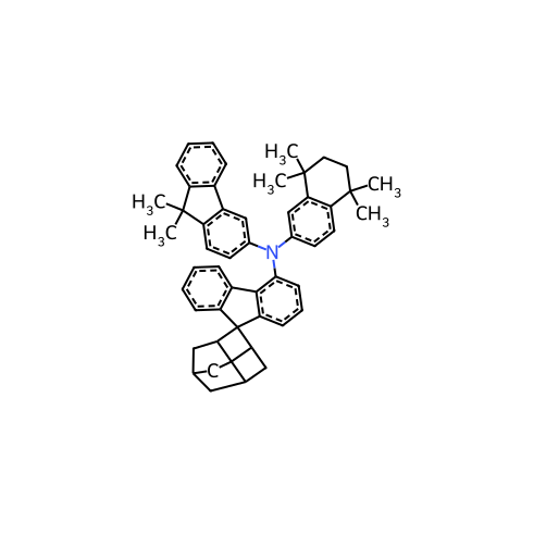 CC1(C)CCC(C)(C)c2cc(N(c3ccc4c(c3)-c3ccccc3C4(C)C)c3cccc4c3-c3ccccc3C43C4CC5CC6CC3C64C5)ccc21